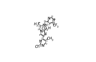 Cc1cnc(Cl)nc1-c1cn(CC(C)NCc2cc(C(F)(F)F)ncn2)c(C(=O)O)n1